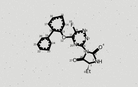 CC[C@H]1NC(=O)N(c2nnc(F)c(Oc3ccccc3-c3ccccc3)n2)C1=O